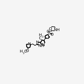 COc1ccnc(CCc2nc3c(C)c(-c4ccc(S(=O)(=O)C5CNCCO5)cc4)cnc3[nH]2)c1